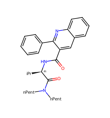 CCCCCN(CCCCC)C(=O)[C@H](NC(=O)c1cc2ccccc2nc1-c1ccccc1)C(C)C